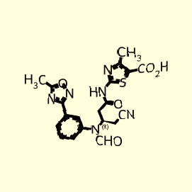 Cc1nc(-c2cccc(N(C=O)[C@H](CC#N)CC(=O)Nc3nc(C)c(C(=O)O)s3)c2)no1